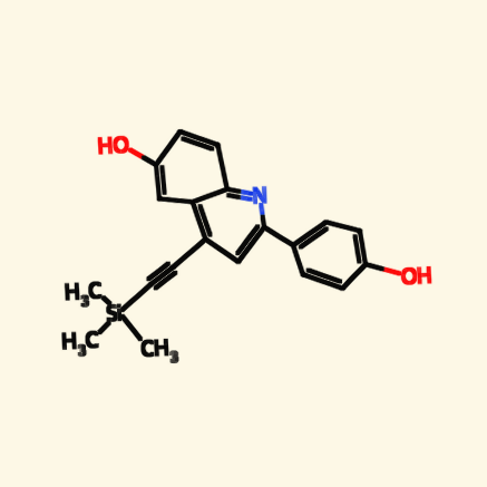 C[Si](C)(C)C#Cc1cc(-c2ccc(O)cc2)nc2ccc(O)cc12